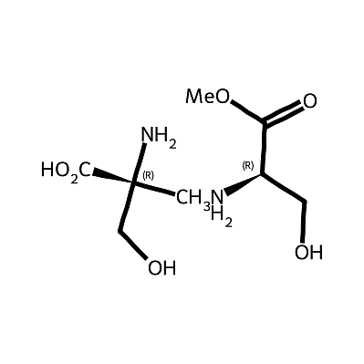 COC(=O)[C@H](N)CO.C[C@@](N)(CO)C(=O)O